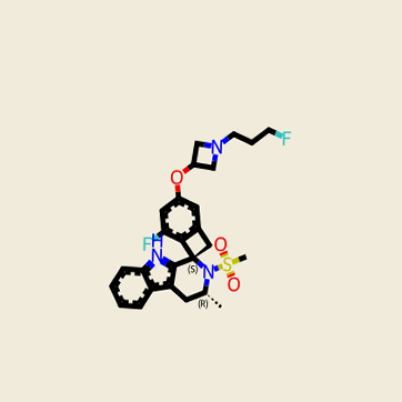 C[C@@H]1Cc2c([nH]c3ccccc23)[C@@]2(Cc3cc(OC4CN(CCCF)C4)cc(F)c32)N1S(C)(=O)=O